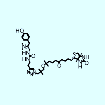 CN(C)[C@H](CNC(=O)NCCc1cn(CC(C)(C)COC(C)(C)CCCC(=O)CCCC[C@H]2SC[C@]3(C)NC(=O)N[C@]23C)nn1)Cc1ccc(O)cc1